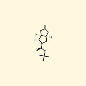 C[C@@H]1[C@H]2CNC[C@H]2CN1C(=O)OC(C)(C)C